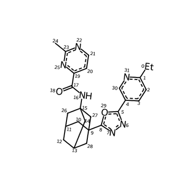 CCc1ccc(-c2nnc(C34CC5CC(CC(NC(=O)c6ccnc(C)n6)(C5)C3)C4)o2)cn1